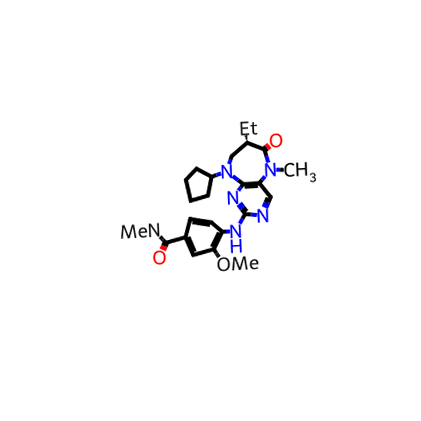 CC[C@H]1CN(C2CCCC2)c2nc(Nc3ccc(C(=O)NC)cc3OC)ncc2N(C)C1=O